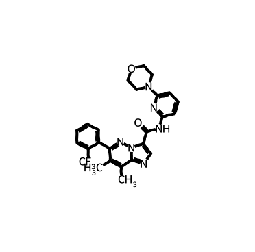 Cc1c(-c2ccccc2C(F)(F)F)nn2c(C(=O)Nc3cccc(N4CCOCC4)n3)cnc2c1C